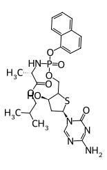 CC(C)COC(=O)[C@H](C)NP(=O)(OCC1S[C@@H](n2cnc(N)nc2=O)C[C@H]1O)Oc1cccc2ccccc12